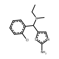 CCN(C)C(c1cnc(N)s1)c1ccccc1Cl